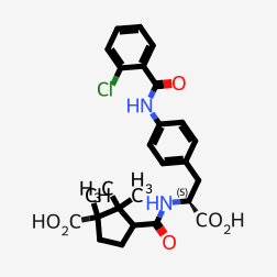 CC1(C(=O)O)CCC(C(=O)N[C@@H](Cc2ccc(NC(=O)c3ccccc3Cl)cc2)C(=O)O)C1(C)C